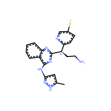 Cc1cc(Nc2nc([C@H](CCN)c3ccc(F)cn3)nc3ccccc23)n[nH]1